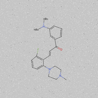 CCCCN(CCCC)c1cccc(C(=O)C=Cc2c(F)cccc2N2CCN(C)CC2)c1